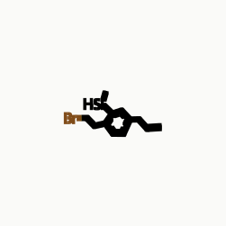 C=CCc1ccc(CCBr)c([SiH](C)C)c1